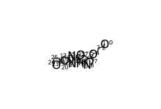 COCCCOc1ccnc(C[S+]([O-])c2nc3cc4c(cc3[nH]2)OCC4)c1C